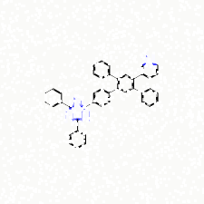 C1=CC(c2nc(-c3ccccc3)nc(-c3ccc(-c4cc(-c5ccccc5)c(-c5cccnc5)cc4-c4ccccc4)cc3)n2)=CCC1